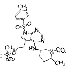 Cc1ccc(S(=O)(=O)n2cc(CCO[Si](C)(C)C(C)(C)C)c3c(N[C@@H]4CC[C@H](C)N(C(=O)O)C4)ncnc32)cc1